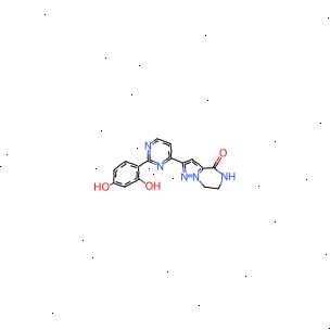 O=C1NCCn2nc(-c3ccnc(-c4ccc(O)cc4O)n3)cc21